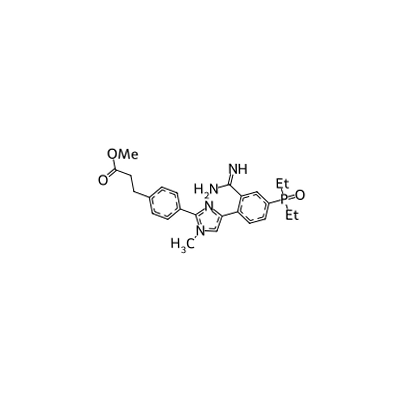 CCP(=O)(CC)c1ccc(-c2cn(C)c(-c3ccc(CCC(=O)OC)cc3)n2)c(C(=N)N)c1